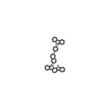 c1ccc2c(c1)sc1c2ccc2c3ccccc3n(-c3ccc4cc(-c5ccc(-n6c7ccccc7c7ccccc76)cc5)ccc4c3)c21